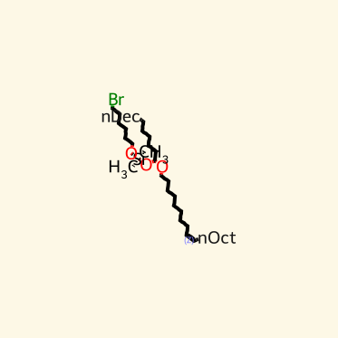 CCCCCCCC/C=C\CCCCCCCCOC(CCCCCCCCCCCCCCC)O[Si](C)(C)OCCCCCCBr